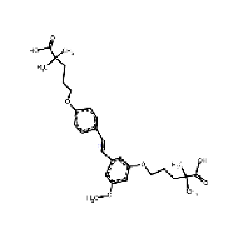 COc1cc(/C=C/c2ccc(OCCCC(C)(C)C(=O)O)cc2)cc(OCCCC(C)(C)C(=O)O)c1